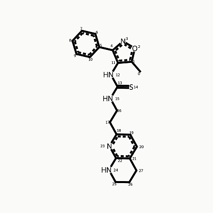 Cc1onc(-c2ccccc2)c1NC(=S)NCCc1ccc2c(n1)NCCC2